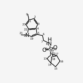 Cc1ccc2c(CCNS(=O)(=O)N3CC4CCC3C4)cn(C)c2c1